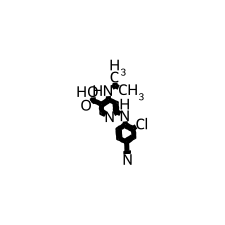 CC(C)Nc1cc(Nc2ccc(C#N)cc2Cl)ncc1C(=O)O